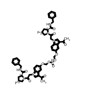 CC(=O)c1cn(CC(=O)N2C[C@H](F)C[C@H]2C(=O)NCc2ccccc2)c2ccc(OCO[PH](=O)OCOc3ccc4c(c3)c(C(C)=O)cn4CC(=O)N3C[C@H](F)C[C@H]3C(=O)NCc3ccccc3)cc12